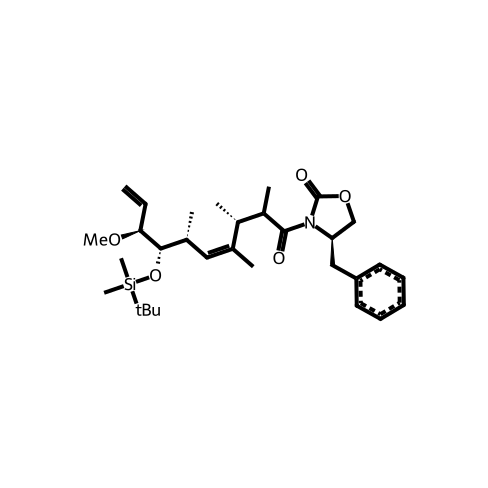 C=C[C@H](OC)[C@@H](O[Si](C)(C)C(C)(C)C)[C@H](C)/C=C(/C)[C@H](C)C(C)C(=O)N1C(=O)OC[C@H]1Cc1ccccc1